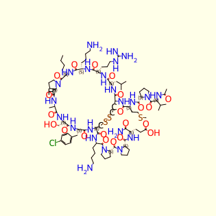 CCCC[C@@H]1NC(=O)[C@H](CCCCN)NC(=O)[C@H](CCCNC(=N)N)NC(=O)[C@H](CC(C)C)NC(=O)C(NC(=O)[C@H](CCSC)NC(=O)[C@@H]2CCCN2C(=O)[C@@H](NC(C)=O)C(C)C)CCSSC[C@@H](C(=O)NC(CCCCN)C(=O)N2CCC[C@H]2C(=O)N2CCC[C@H]2C(=O)N[C@@H](CCC(=O)O)C(N)=O)NC(=O)[C@H](Cc2ccc(Cl)cc2)NC(=O)[C@H](CO)NC(=O)C(C)NC(=O)[C@@H]2CCCN2C1=O